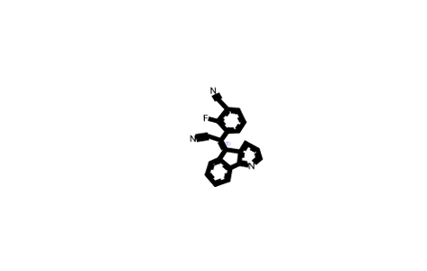 N#C/C(=C1\c2ccccc2-c2ncccc21)c1cccc(C#N)c1F